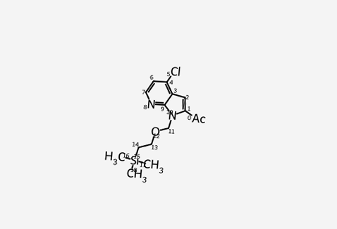 CC(=O)c1cc2c(Cl)ccnc2n1COCC[Si](C)(C)C